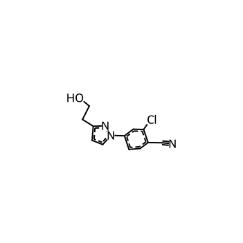 N#Cc1ccc(-n2ccc(CCO)n2)cc1Cl